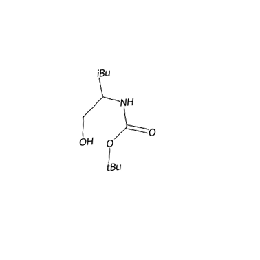 CCC(C)C(CO)NC(=O)OC(C)(C)C